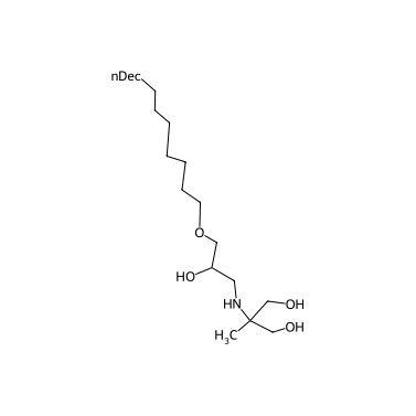 CCCCCCCCCCCCCCCCCOCC(O)CNC(C)(CO)CO